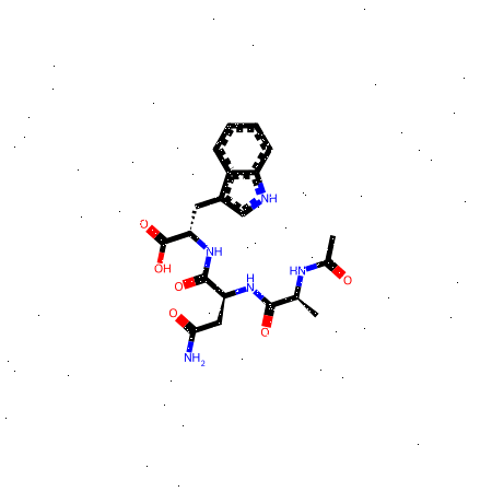 CC(=O)N[C@@H](C)C(=O)N[C@@H](CC(N)=O)C(=O)N[C@@H](Cc1c[nH]c2ccccc12)C(=O)O